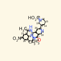 C[C@@H](Nc1nn(C)c(=O)c2cnc(C3=CCCN(C(=O)O)C3)cc12)c1cc([N+](=O)[O-])cc(C(F)(F)F)c1